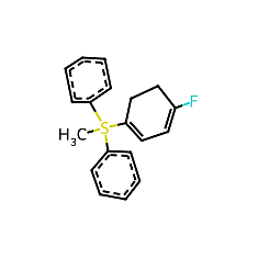 CS(C1=CC=C(F)CC1)(c1ccccc1)c1ccccc1